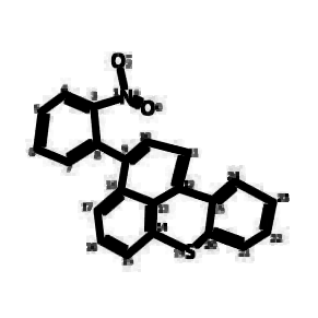 O=[N+]([O-])c1ccccc1-c1ccc2c3c(cccc13)Sc1ccccc1-2